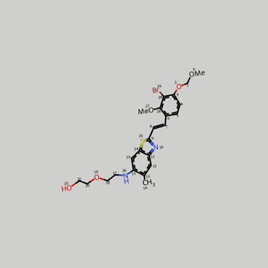 COCOc1ccc(/C=C/c2nc3cc(C)c(NCCOCCO)cc3s2)c(OC)c1Br